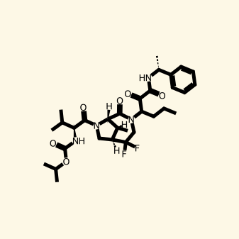 CCCC(C(=O)C(=O)N[C@H](C)c1ccccc1)N1CC(F)(F)[C@H]2CN(C(=O)[C@@H](NC(=O)OC(C)C)C(C)C)[C@H](C1=O)[C@H]2C